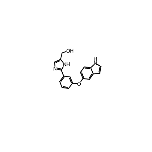 OCc1cnc(-c2cccc(Oc3ccc4[nH]ccc4c3)c2)[nH]1